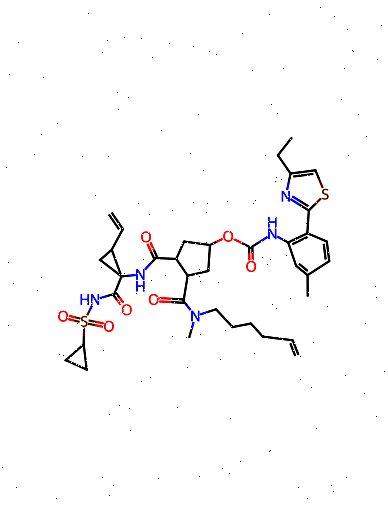 C=CCCCCN(C)C(=O)C1CC(OC(=O)Nc2cc(C)ccc2-c2nc(CC)cs2)CC1C(=O)NC1(C(=O)NS(=O)(=O)C2CC2)CC1C=C